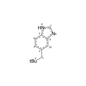 CC(C)(C)Cc1ccc2[nH]cnc2c1